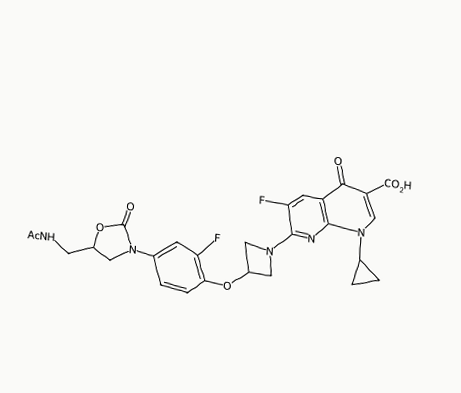 CC(=O)NCC1CN(c2ccc(OC3CN(c4nc5c(cc4F)c(=O)c(C(=O)O)cn5C4CC4)C3)c(F)c2)C(=O)O1